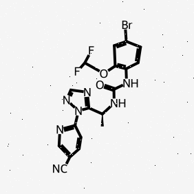 C[C@H](NC(=O)Nc1ccc(Br)cc1OC(F)F)c1ncnn1-c1ccc(C#N)cn1